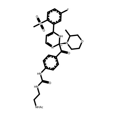 CC(=O)NCCNC(=O)Nc1ccc(C(=O)[C@]2(N3CCOCC3C)N=CC=C(c3cc(F)ccc3S(C)(=O)=O)N2)cc1